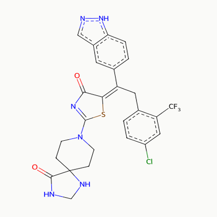 O=C1N=C(N2CCC3(CC2)NCNC3=O)SC1=C(Cc1ccc(Cl)cc1C(F)(F)F)c1ccc2[nH]ncc2c1